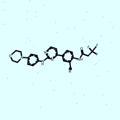 N#Cc1cc(-c2ccnc(Nc3ccc(N4CCOCC4)cc3)n2)ccc1NC(=O)CC(F)(F)F